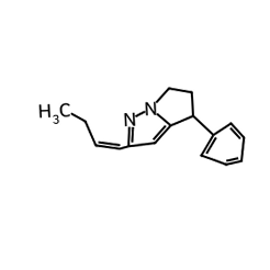 CC/C=C\c1cc2n(n1)CCC2c1ccccc1